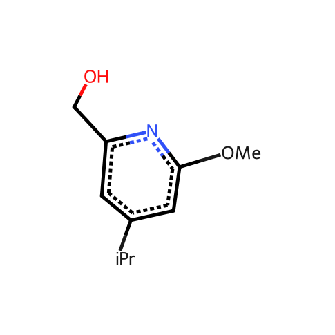 COc1cc(C(C)C)cc(CO)n1